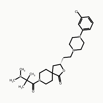 CN(C)C(C)(C)C(=O)N1CCC2(CC1)C[C@H](CCN1CCN(c3cccc(Cl)c3)CC1)OC2=O